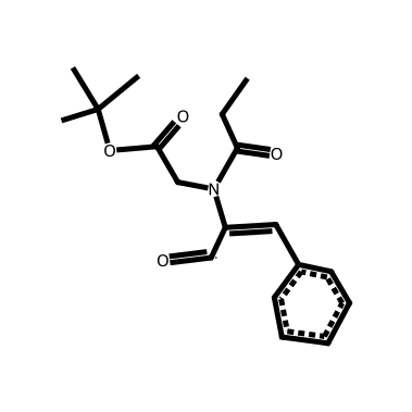 CCC(=O)N(CC(=O)OC(C)(C)C)C([C]=O)=Cc1ccccc1